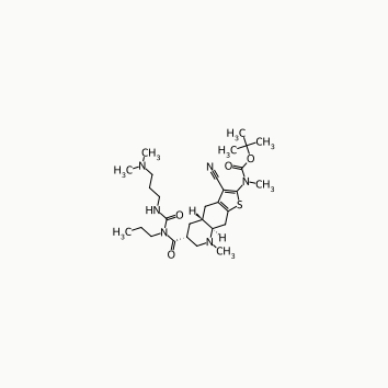 CCCN(C(=O)NCCCN(C)C)C(=O)[C@@H]1C[C@@H]2Cc3c(sc(N(C)C(=O)OC(C)(C)C)c3C#N)C[C@H]2N(C)C1